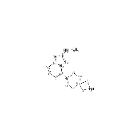 CNc1nc2cccc(C3CCC4(CC3)CNC4)n2n1